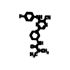 CN(C)C(=O)N[C@@H]1CCCN(c2cnc(C#N)c(Nc3ccc(F)cc3)n2)C1